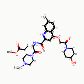 CCOC(=O)N1CCN(C(=O)[C@H](CCC(=O)OC(C)(C)C)NC(=O)c2cc(OCC(=O)N3CCC(O)CC3)c3ccc(C)cc3n2)CC1